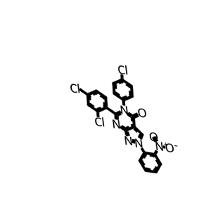 O=c1c2cn(-c3ccccc3[N+](=O)[O-])nc2nc(-c2ccc(Cl)cc2Cl)n1-c1ccc(Cl)cc1